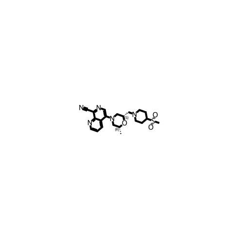 C[C@@H]1CN(c2cnc(C#N)c3ncccc23)C[C@H](CN2CCC(S(C)(=O)=O)CC2)O1